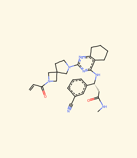 C=CC(=O)N1CC2(CCN(c3nc4c(c(N[C@H](CC(=O)NC)c5cccc(C#N)c5)n3)CCCC4)C2)C1